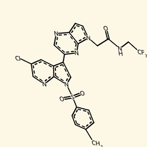 Cc1ccc(S(=O)(=O)n2cc(-c3cnc4ccn(CC(=O)NCC(F)(F)F)c4n3)c3cc(Cl)cnc32)cc1